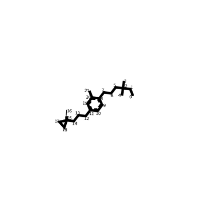 CCC(C)(C)CCCc1ccc(CCCC2(I)CC2)cc1C